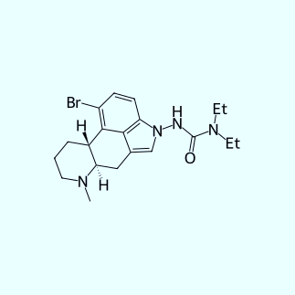 CCN(CC)C(=O)Nn1cc2c3c(c(Br)ccc31)[C@H]1CCCN(C)[C@@H]1C2